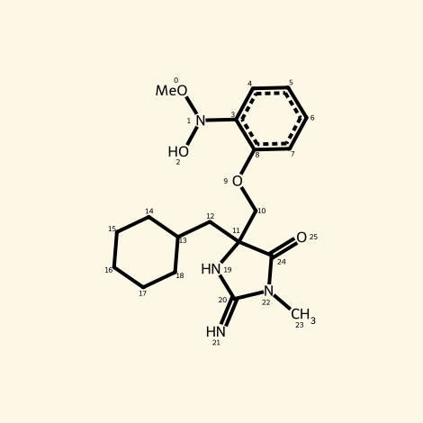 CON(O)c1ccccc1OCC1(CC2CCCCC2)NC(=N)N(C)C1=O